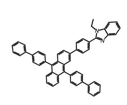 CCn1c(-c2ccc(-c3ccc4c(-c5ccc(-c6ccccc6)cc5)c5ccccc5c(-c5ccc(-c6ccccc6)cc5)c4c3)cc2)nc2ccccc21